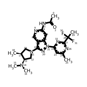 CC(=O)Nc1cc2c(cn1)c(N1C[C@@H](N(C)C)[C@@H](C)C1)nn2-c1cc(C)nc(C(C)(F)F)n1